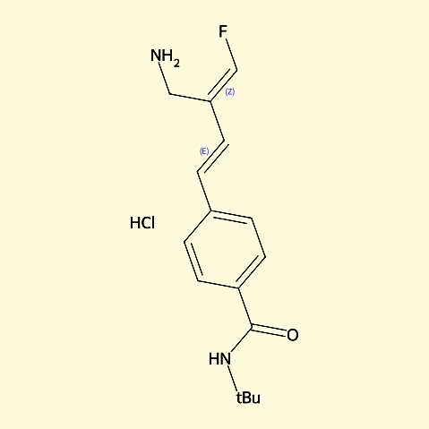 CC(C)(C)NC(=O)c1ccc(/C=C/C(=C/F)CN)cc1.Cl